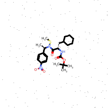 CSN(C(=O)[C@H](CC1CCCCC1)NC(=O)OC(C)(C)C)[C@H](C)c1ccc([N+](=O)[O-])cc1